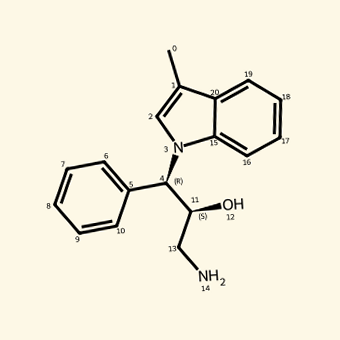 Cc1cn([C@H](c2ccccc2)[C@@H](O)CN)c2ccccc12